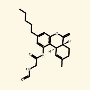 C=C1Oc2cc(CCCCC)cc(OC(=O)CNC=O)c2[C@@H]2C=C(C)CC[C@@H]12